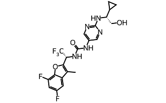 Cc1c([C@@H](NC(=O)Nc2cnc(N[C@@H](CO)C3CC3)nc2)C(F)(F)F)oc2c(F)cc(F)cc12